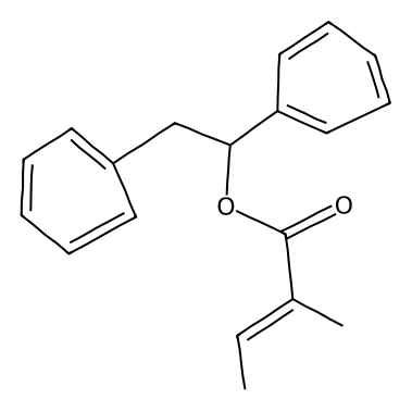 CC=C(C)C(=O)OC(Cc1ccccc1)c1ccccc1